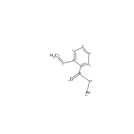 C=Cc1ccccc1C(=O)CC(C)=O